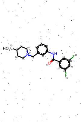 O=C(Nc1cccc(CN2CCC(C(=O)O)CC2)c1)c1cc(F)cc(F)c1